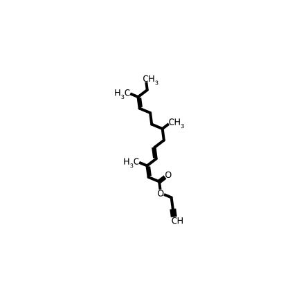 C#CCOC(=O)C=C(C)C=CCC(C)CCC=C(C)CC